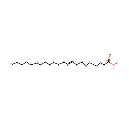 CCCCCCCCCCCCC=CCCCCCCCC(=O)OC